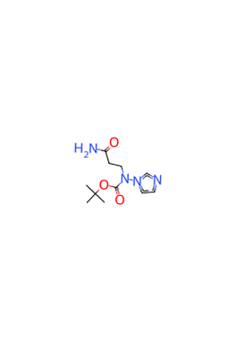 CC(C)(C)OC(=O)N(CCC(N)=O)n1ccnc1